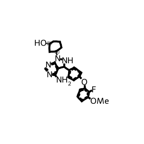 COc1cccc(Oc2ccc(C3NN([C@@H]4CCC[C@@H](O)C4)c4ncnc(N)c43)cc2)c1F